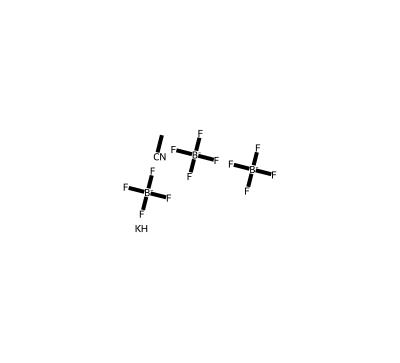 CC#N.F[B-](F)(F)F.F[B-](F)(F)F.F[B-](F)(F)F.[KH]